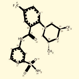 C[C@@H]1CN(c2ncc(C(F)(F)F)cc2C(=O)Nc2ccnc(S(N)(=O)=O)c2)C[C@@H](C(F)(F)F)O1